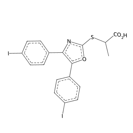 CC(Sc1nc(-c2ccc(I)cc2)c(-c2ccc(I)cc2)o1)C(=O)O